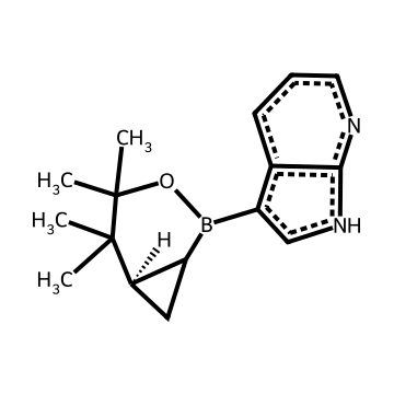 CC1(C)OB(c2c[nH]c3ncccc23)C2C[C@H]2C1(C)C